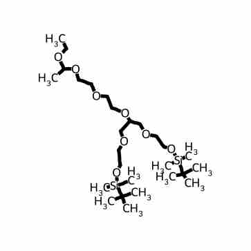 CCOC(C)OCCOCCOC(COCCO[Si](C)(C)C(C)(C)C)COCCO[Si](C)(C)C(C)(C)C